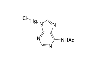 CC(=O)Nc1ncnc2c1nc[n]2[Hg][Cl]